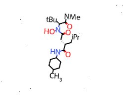 CNC(=O)[C@@H](N(O)C(=O)C[C@H](CC(C)C)C(=O)NC1CCC(C)CC1)C(C)(C)C